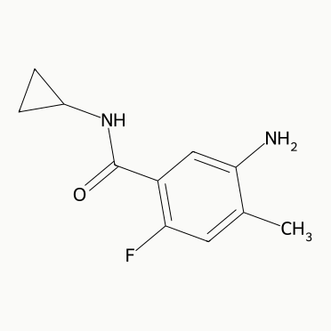 Cc1cc(F)c(C(=O)NC2CC2)cc1N